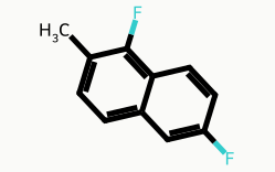 Cc1ccc2cc(F)ccc2c1F